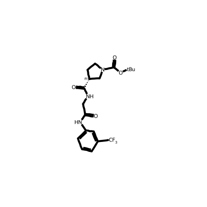 CC(C)(C)OC(=O)N1CC[C@@H](C(=O)NCC(=O)Nc2cccc(C(F)(F)F)c2)C1